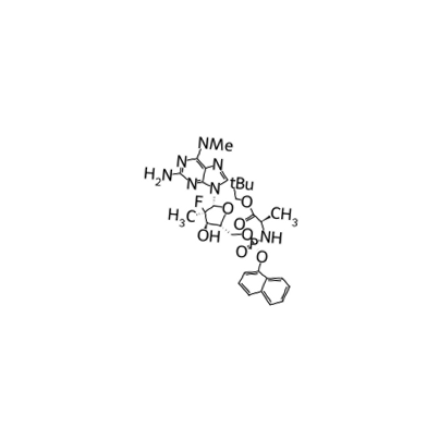 CNc1nc(N)nc2c1ncn2[C@@H]1O[C@H](CO[P@@](=O)(N[C@H](C)C(=O)OCC(C)(C)C)Oc2cccc3ccccc23)[C@@H](O)[C@@]1(C)F